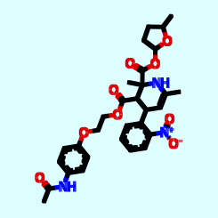 CC(=O)Nc1ccc(OCCOC(=O)C2C(c3ccccc3[N+](=O)[O-])C=C(C)NC2(C)C(=O)OC2CCC(C)O2)cc1